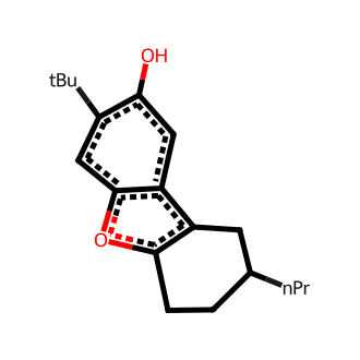 CCCC1CCc2oc3cc(C(C)(C)C)c(O)cc3c2C1